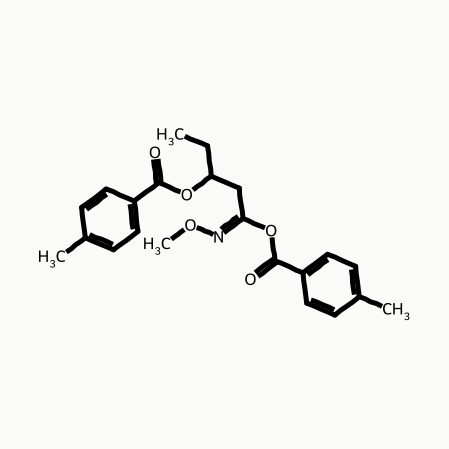 CCC(CC(=NOC)OC(=O)c1ccc(C)cc1)OC(=O)c1ccc(C)cc1